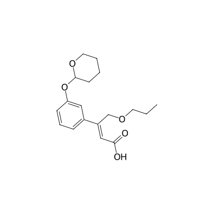 CCCOCC(=CC(=O)O)c1cccc(OC2CCCCO2)c1